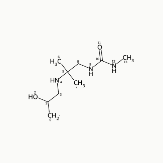 [CH2]C(O)CNC(C)(C)CNC(=O)NC